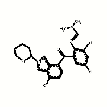 CN(C)/C=N/c1c(Br)cc(Cl)cc1C(=O)c1ccc(Cl)c2nn(C3CCCCO3)cc12